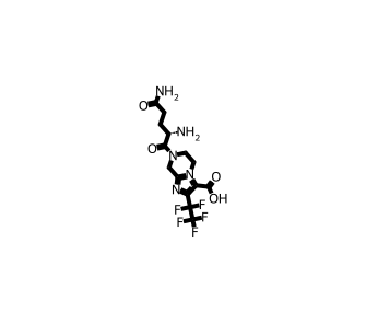 NC(=O)CC[C@H](N)C(=O)N1CCn2c(nc(C(F)(F)C(F)(F)F)c2C(=O)O)C1